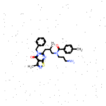 Cc1ccc(C(=O)N(CCCN)CC(C)Cc2nc3snc(C)c3c(=O)n2Cc2ccccc2)cc1